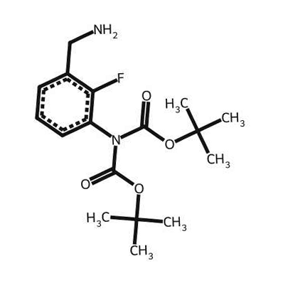 CC(C)(C)OC(=O)N(C(=O)OC(C)(C)C)c1cccc(CN)c1F